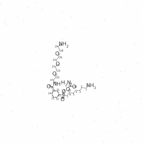 NCCCCCC(CS(=O)(=O)c1cccc(C(=O)NCCOCCOCCOCCN)c1)OC(N)=O